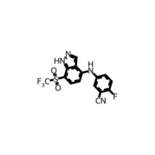 N#Cc1cc(Nc2ccc(S(=O)(=O)C(F)(F)F)c3[nH]ncc23)ccc1F